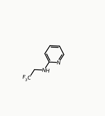 FC(F)(F)CNc1ccccn1